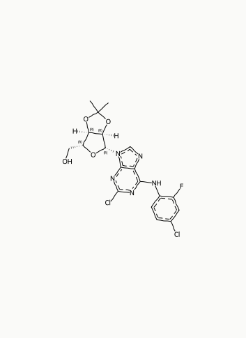 CC1(C)O[C@@H]2[C@H](O1)[C@@H](CO)O[C@H]2n1cnc2c(Nc3ccc(Cl)cc3F)nc(Cl)nc21